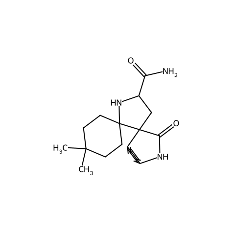 CC1(C)CCC2(CC1)NC(C(N)=O)CC21C(=O)Nc2ccccc21